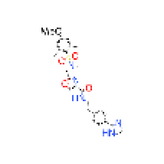 COc1cc(C)c(S(=O)(=O)N(C)Cc2nc(C(=O)NCCc3ccc(C4=NCCN4)cc3)co2)c(C)c1